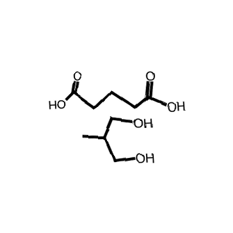 CC(CO)CO.O=C(O)CCCC(=O)O